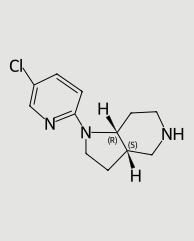 Clc1ccc(N2CC[C@H]3CNCC[C@H]32)nc1